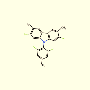 Cc1cc(F)c(-n2c3cc(F)c(C)cc3c3cc(C)c(F)cc32)c(F)c1